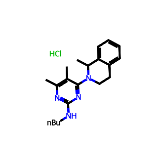 CCCCNc1nc(C)c(C)c(N2CCc3ccccc3C2C)n1.Cl